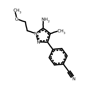 COCCn1nc(-c2ccc(C#N)cc2)c(C)c1N